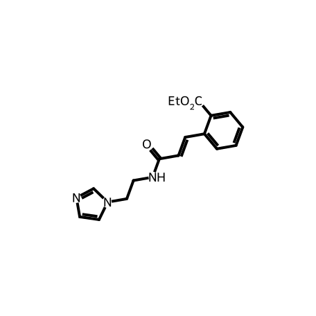 CCOC(=O)c1ccccc1/C=C/C(=O)NCCn1ccnc1